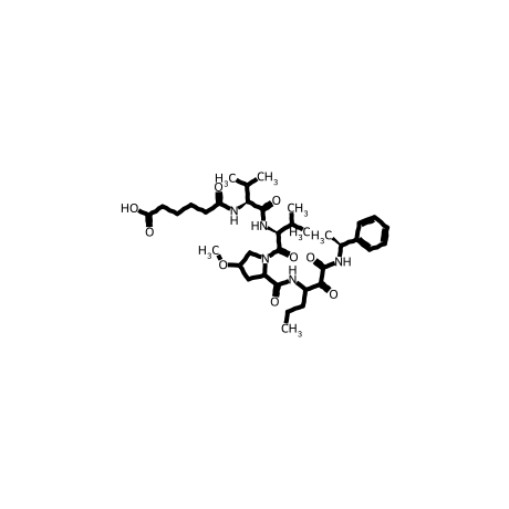 CCCC(NC(=O)C1CC(OC)CN1C(=O)[C@@H](NC(=O)[C@@H](NC(=O)CCCCC(=O)O)C(C)C)C(C)C)C(=O)C(=O)N[C@@H](C)c1ccccc1